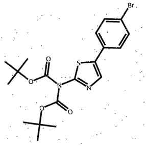 CC(C)(C)OC(=O)N(C(=O)OC(C)(C)C)c1ncc(-c2ccc(Br)cc2)s1